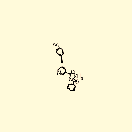 CC(=O)c1ccc(C#Cc2cncc(C(=O)N=[S@@](C)(=O)c3ccccc3)c2)cc1